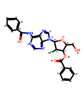 O=C(Nc1ncnc2c1ncn2C1OC(CO)C(OC(=O)c2ccccc2)C1F)c1ccccc1